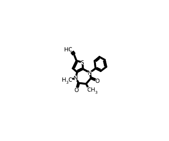 C#Cc1cc2c(s1)N(c1ccccc1)C(=O)C(C)C(=O)N2C